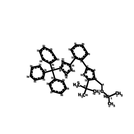 C[SiH](C)OCc1cc(-c2ccccc2-c2nnn(C(c3ccccc3)(c3ccccc3)c3ccccc3)n2)sc1C(C)(C)C